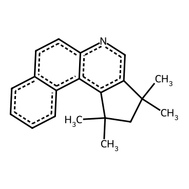 CC1(C)CC(C)(C)c2c1cnc1ccc3ccccc3c21